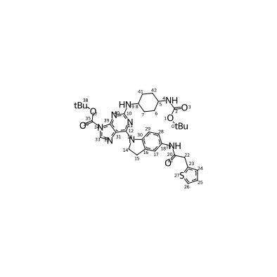 CC(C)(C)OC(=O)NC1CCC(Nc2nc(N3CCc4cc(NC(=O)Cc5cccs5)ccc43)c3ncn(C(=O)OC(C)(C)C)c3n2)CC1